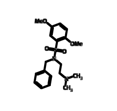 COc1ccc(OC)c(S(=O)(=O)N(CCN(C)C)Cc2ccccc2)c1